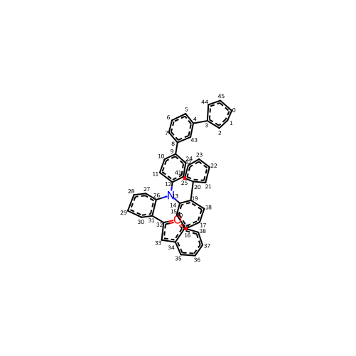 c1ccc(-c2cccc(-c3ccc(N(c4ccccc4-c4ccccc4)c4ccccc4-c4cc5ccccc5o4)cc3)c2)cc1